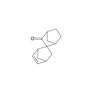 O=C1C2CCC(C2)C12CC1C=CC2C1